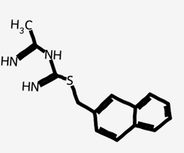 CC(=N)NC(=N)SCc1ccc2ccccc2c1